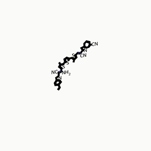 C=Cc1ccc2c(c1)N=C(/C(C#N)=C(\N)c1cc(C)c(-c3ccc(-c4sc(/C=C(\C#N)C5=NC6=C(CC=CC(C#N)=C6)C5)cc4C)s3)s1)C2